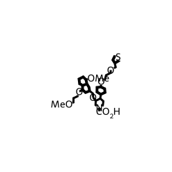 COCCCOc1cc(COC2CN(C(=O)O)CCC2c2ccc(OCCCOCc3ccsc3)cc2)cc2c(OC)cccc12